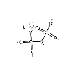 [Li+].[Li+].[O]=[Cr](=[O])([O-])[O][Cr](=[O])(=[O])[O-]